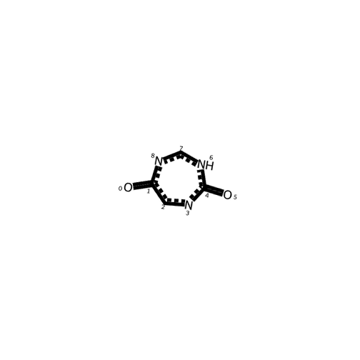 O=c1cnc(=O)[nH]cn1